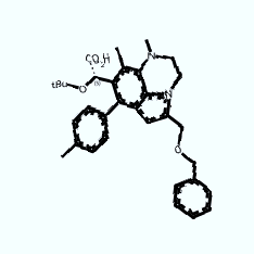 Cc1ccc(-c2c([C@H](OC(C)(C)C)C(=O)O)c(C)c3c4c2cc(COCc2ccccc2)n4CCN3C)cc1